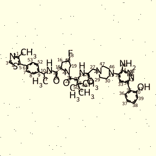 Cc1ncsc1-c1ccc(C(C)NC(=O)[C@@H]2C[C@@H](F)CN2C(=O)[C@@H](NC(=O)CN2CCN(c3cc(-c4ccccc4O)nnc3N)CC2)C(C)(C)C)cc1